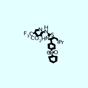 CC(C)Cc1sc(Nc2ncc(C(F)(F)F)cc2C(=O)O)nc1-c1ccc(S(=O)(=O)c2ccccc2)cc1